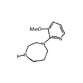 COc1cccnc1N1CCCN(I)CC1